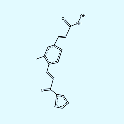 Cc1cc(C=CC(=O)NO)ccc1C=CC(=O)c1cccs1